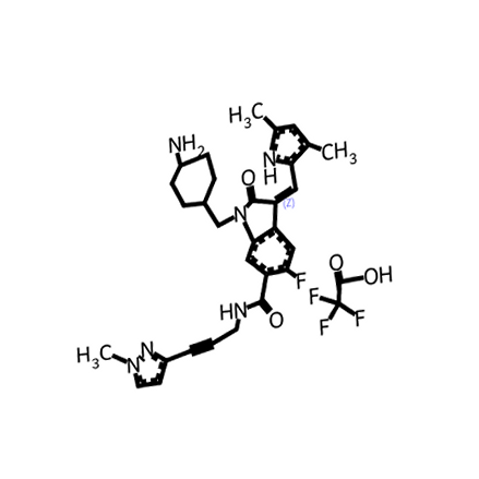 Cc1cc(C)c(/C=C2\C(=O)N(CC3CCC(N)CC3)c3cc(C(=O)NCC#Cc4ccn(C)n4)c(F)cc32)[nH]1.O=C(O)C(F)(F)F